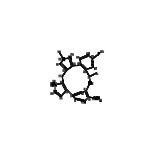 CC1Oc2cc(cnc2N)-c2cn[nH]c2Cc2cn(C)nc2-c2ccc(F)cc21